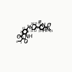 CCC1C(=O)Nc2cc(CN3CC=C(c4ccc(C(=O)NC)nc4F)CC3)ccc2C1=O